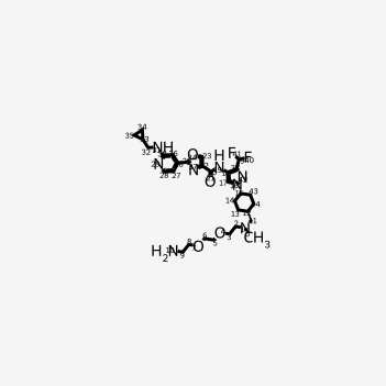 CN(CCOCCOCCN)C[C@H]1CC[C@H](n2cc(NC(=O)c3coc(-c4ccnc(NCC5CC5)c4)n3)c(C(F)F)n2)CC1